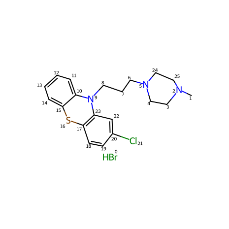 Br.CN1CCN(CCCN2c3ccccc3Sc3ccc(Cl)cc32)CC1